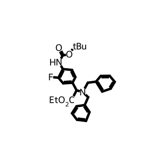 CCOC(=O)C(c1ccc(NC(=O)OC(C)(C)C)c(F)c1)N(Cc1ccccc1)Cc1ccccc1